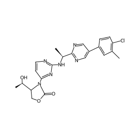 Cc1cc(-c2cnc([C@H](C)Nc3nccc(N4C(=O)OCC4[C@@H](C)O)n3)nc2)ccc1Cl